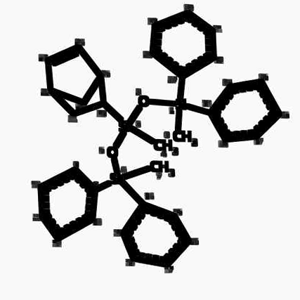 C[Si](O[Si](C)(O[Si](C)(c1ccccc1)c1ccccc1)C1CC2C=CC1C2)(c1ccccc1)c1ccccc1